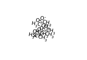 CC(C)(C)C(=O)[O-].CC(C)(C)C(=O)[O-].CC(C)(C)C(=O)[O-].[Sc+3]